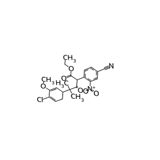 CCOC(=O)C(C(=O)C(C)(C)C1C=C(OC)C(Cl)=CC1)c1ccc(C#N)cc1[N+](=O)[O-]